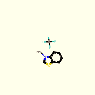 CCC[n+]1csc2ccccc21.F[B-](F)(F)F